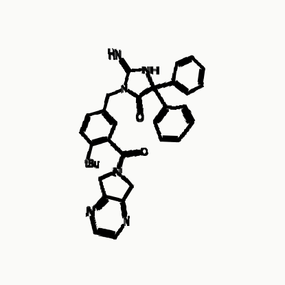 CC(C)(C)c1ccc(CN2C(=N)NC(c3ccccc3)(c3ccccc3)C2=O)cc1C(=O)N1Cc2nccnc2C1